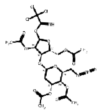 CC(=O)OC[C@H]1OC(OC(=N)C(Cl)(Cl)Cl)[C@H](OC(C)=O)[C@@H]1O[C@@H]1C[C@@H](OC(C)=O)[C@H](OC(C)=O)[C@H](CN=[N+]=[N-])O1